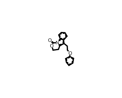 O=C1OCCc2c(CCOc3ccccc3)c3ccccc3n21